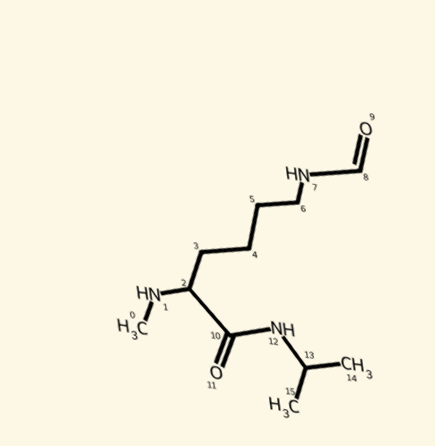 CNC(CCCCNC=O)C(=O)NC(C)C